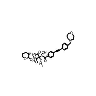 CNC(=O)C(C)(C(=O)NOC1CCCCO1)N(C)C(=O)c1ccc(C#Cc2ccc(CN3CCCOCC3)cc2)cc1